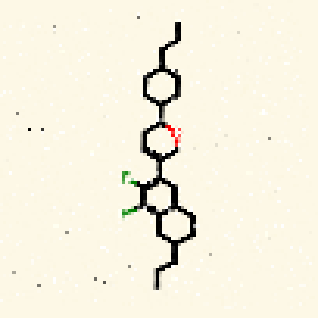 CCCC1CCC(C2CC=C(c3cc4c(c(F)c3F)CC(CCC)CC4)CO2)CC1